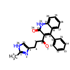 Cc1nc(CCC(=O)c2c(-c3ccccc3)c3ccccc3[nH]c2=O)c[nH]1